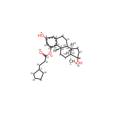 C[C@]12CC[C@@H]3c4c(cc(O)cc4OC(=O)CCC4CCCC4)CC[C@H]3[C@@H]1CC[C@H]2O